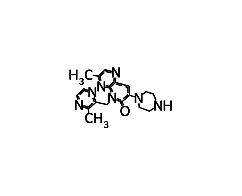 Cc1cnc2cc(N3CCNCC3)c(=O)n(Cc3nccnc3C)c2n1